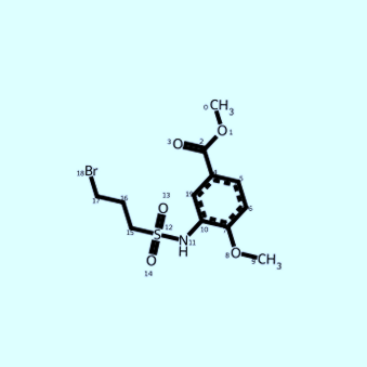 COC(=O)c1ccc(OC)c(NS(=O)(=O)CCCBr)c1